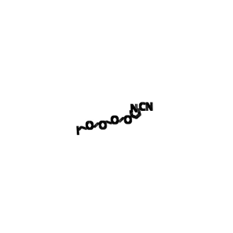 N#Cc1ccc(OCCOCCOCCOCCI)cn1